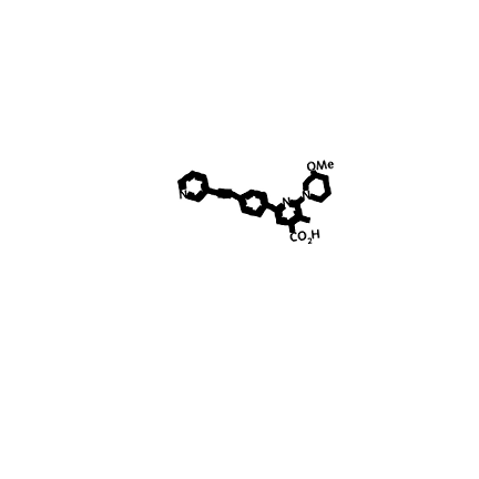 COC1CCCN(c2nc(-c3ccc(C#Cc4cccnc4)cc3)cc(C(=O)O)c2C)C1